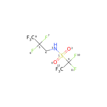 O=S(=O)(NCC(F)(F)C(F)(F)F)C(F)(F)C(F)(F)F